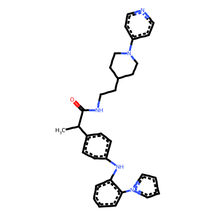 CC(C(=O)NCCC1CCN(c2ccncc2)CC1)c1ccc(Nc2ccccc2-n2cccc2)cc1